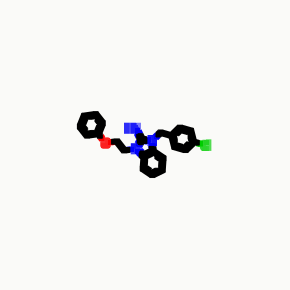 N=c1n(CCOc2ccccc2)c2ccccc2n1Cc1ccc(Cl)cc1